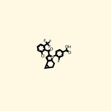 O=C(O)c1ccc(-n2c(C(=O)c3c(Cl)cccc3C(F)(F)F)cc3c2CCC2CC32)c(F)c1